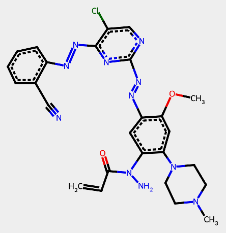 C=CC(=O)N(N)c1cc(N=Nc2ncc(Cl)c(N=Nc3ccccc3C#N)n2)c(OC)cc1N1CCN(C)CC1